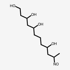 CC(CC(O)CCCC(O)CC(O)CCO)N=O